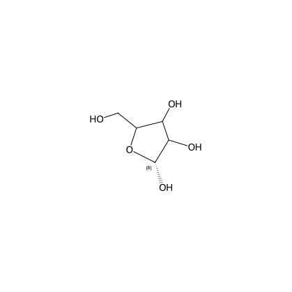 OCC1O[C@@H](O)C(O)C1O